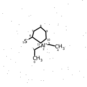 C[CH2][Al+][CH2]C.[S-]C1CCCCC1